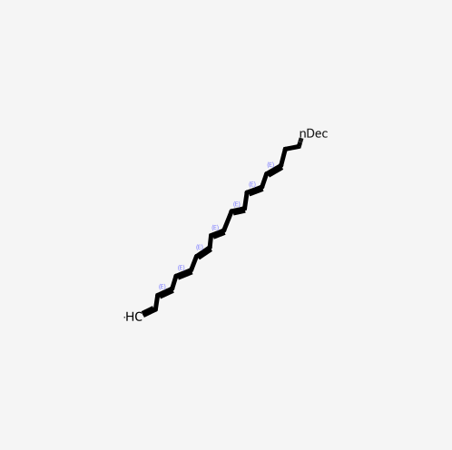 [CH]=C/C=C/C=C/C=C/C=C/C=C/C=C/C=C/CCCCCCCCCCCC